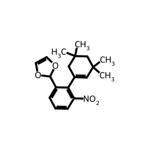 CC1(C)C=C(c2c(C3OC=CO3)cccc2[N+](=O)[O-])CC(C)(C)C1